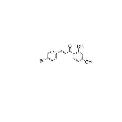 O=C(C=Cc1ccc(Br)cc1)c1ccc(O)cc1O